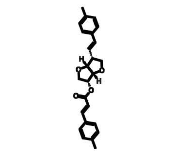 Cc1ccc(C=C[C@@H]2CO[C@H]3[C@@H]2OC[C@H]3OC(=O)/C=C/c2ccc(C)cc2)cc1